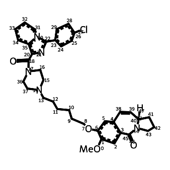 COc1cc2c(cc1OCCCCCCN1CCN(C(=O)c3nc(-c4ccc(Cl)cc4)n4ccccc34)CC1)C=C[C@@H]1CCCN1C2=O